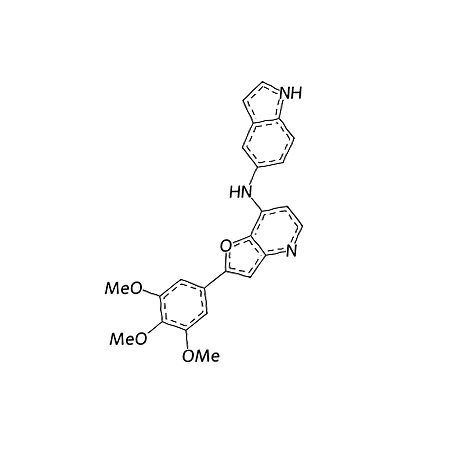 COc1cc(-c2cc3nccc(Nc4ccc5[nH]ccc5c4)c3o2)cc(OC)c1OC